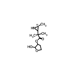 C[C@@H]1NC1C(C)(C)C(=O)OC1CCOC1O